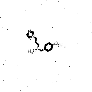 COc1ccc(CN(C)CCCn2ccnc2)cc1